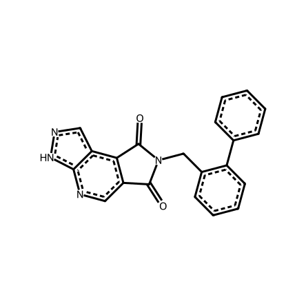 O=C1c2cnc3[nH]ncc3c2C(=O)N1Cc1ccccc1-c1ccccc1